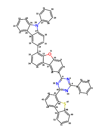 c1ccc(-c2nc(-c3ccc4oc5c(-c6ccc7c(c6)c6ccccc6n7-c6ccccc6)cccc5c4c3)nc(-c3cccc4c3sc3ccccc34)n2)cc1